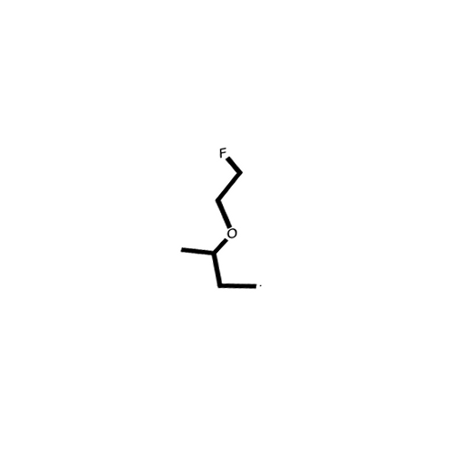 [CH2]CC(C)OCCF